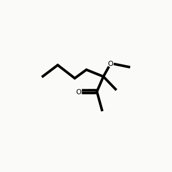 CCCCC(C)(OC)C(C)=O